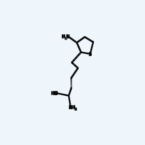 NC(O)CCCCC1SCCC1N